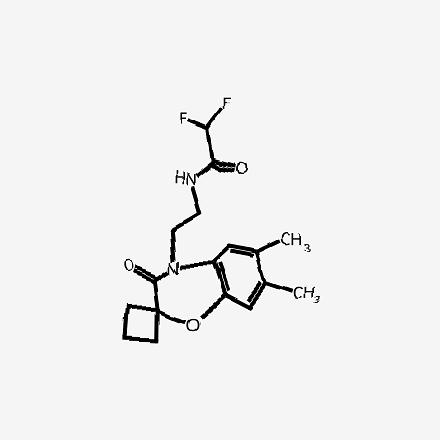 Cc1cc2c(cc1C)N(CCNC(=O)C(F)F)C(=O)C1(CCC1)O2